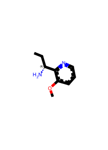 CC[C@@H](N)c1ncccc1OC